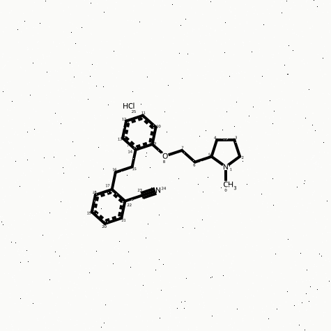 CN1CCCC1CCOc1ccccc1CCc1ccccc1C#N.Cl